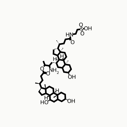 CC(OC(=O)CC[C@H](C)[C@@H]1CCC2[C@H]3[C@H](O)CC4C[C@@H](O)CC[C@@]4(C)[C@@H]3CC[C@]21C)C(N)C[C@H]1CC2C[C@H](O)CC[C@]2(C)[C@H]2CC[C@@]3(C)C(CC[C@@H]3[C@H](C)CCC(=O)NCCS(=O)(=O)O)[C@H]12